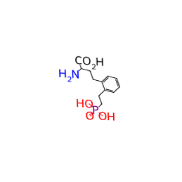 NC(CCc1ccccc1CCP(=O)(O)O)C(=O)O